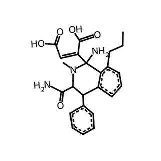 CCCc1cccc2c1C(N)(C(=CC(=O)O)C(=O)O)N(C)C(C(N)=O)C2c1ccccc1